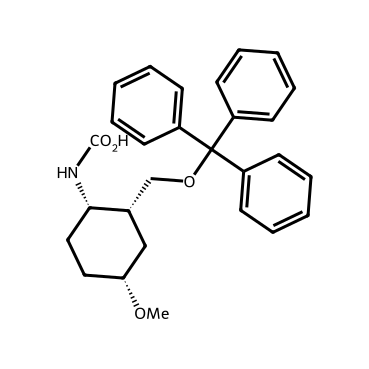 CO[C@@H]1CC[C@H](NC(=O)O)[C@H](COC(c2ccccc2)(c2ccccc2)c2ccccc2)C1